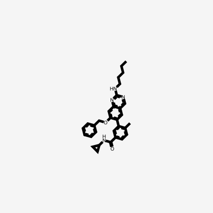 CCCCCNc1ncc2cc(-c3cc(C(=O)NC4CC4)ccc3C)c(OCc3ccccc3)cc2n1